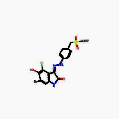 CNS(=O)(=O)Cc1ccc(N/N=C2\C(=O)Nc3cc(C(C)C)c(O)c(Cl)c32)cc1